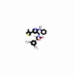 CCN(c1ncc(-c2cscc2C)cc1CN1C(=O)O[C@H](c2cc(C(F)(F)F)cc(C(F)(F)F)c2)[C@@H]1C)C1CCCCC1